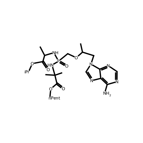 CCCCCOC(=O)C(C)(C)NP(=O)(COC(C)Cn1cnc2c(N)ncnc21)NC(C)C(=O)OC(C)C